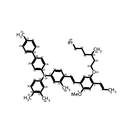 CC=Cc1cc(OC)c(C=Cc2ccc(N(c3ccc(-c4ccc(C)cc4)cc3)c3ccc(C)c(C)c3)cc2C)cc1OCCC(C)CCCC(C)C